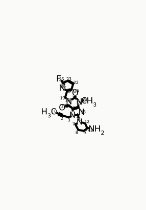 CC#CCn1c(N2CCCC(N)C2)nc2c1c(=O)n(Cc1cccc(F)n1)c(=O)n2C